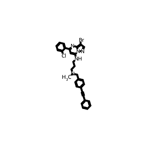 CN(CCCNc1cc(-c2ccccc2Cl)nc2c(Br)cnn12)Cc1ccc(C#Cc2ccccc2)cc1